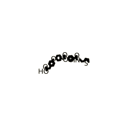 O=C(O)Cc1ccc(OC2CCN(C(=O)Oc3ccc(C(=O)NCCc4cccs4)cc3)CC2)cc1